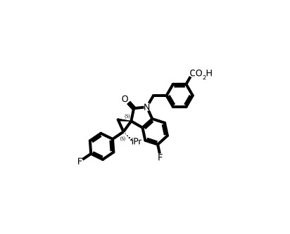 CC(C)[C@]1(c2ccc(F)cc2)C[C@]12C(=O)N(Cc1cccc(C(=O)O)c1)c1ccc(F)cc12